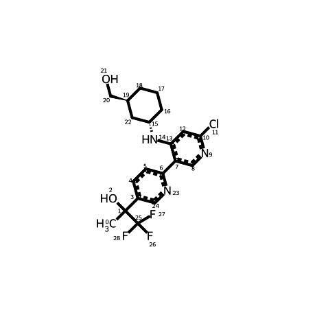 CC(O)(c1ccc(-c2cnc(Cl)cc2N[C@H]2CCC[C@H](CO)C2)nc1)C(F)(F)F